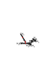 CCCCCCCCCCCCSC(CCCCCCC)CCOOP(=O)(OC[C@H]1O[C@@H](n2cc(C)c(=O)[nH]c2=O)C[C@@H]1F)OC(C)C